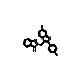 Cc1ccc(-c2nc3cc(C)ccn3c2Cc2nc3ccccc3[nH]2)cc1